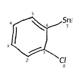 Clc1cccc[c]1[Sn]